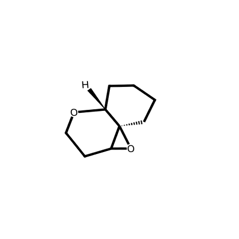 C1CC[C@]23OC2CCO[C@@H]3C1